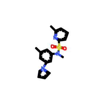 Cc1cc(N(C)S(=O)(=O)c2cccc(C)n2)cc(-n2cccc2)c1